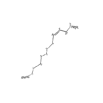 [CH2]NCCCCCCC/C=C\CCCCCCCC